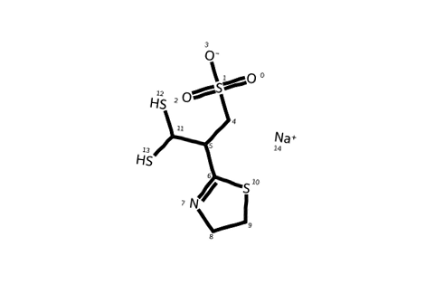 O=S(=O)([O-])CC(C1=NCCS1)C(S)S.[Na+]